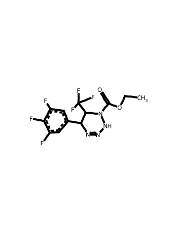 CCOC(=O)N1NN=NC(c2cc(F)c(F)c(F)c2)C1C(F)(F)F